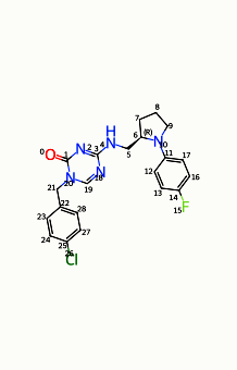 O=c1nc(NC[C@H]2CCCN2c2ccc(F)cc2)ncn1Cc1ccc(Cl)cc1